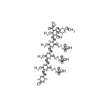 COc1ccc2c(c1)nc1c(C(N)=O)c(C)c(N=Nc3cc(C)c(N=Nc4cc(C)c(N=Nc5cc(C)c(N=Nc6ccc(Cl)cc6)cc5SCCCS(=O)(=O)O)cc4SCCCS(=O)(=O)O)cc3OCCCS(=O)(=O)O)c(O)n12